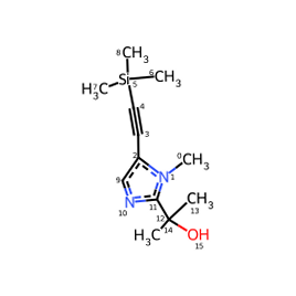 Cn1c(C#C[Si](C)(C)C)cnc1C(C)(C)O